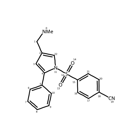 CNCc1cc(-c2ccccc2)n(S(=O)(=O)c2ccc(C#N)cc2)c1